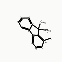 COC1(OC)c2ccccc2-c2cccc(C)c21